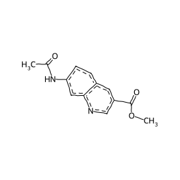 COC(=O)c1cnc2cc(NC(C)=O)ccc2c1